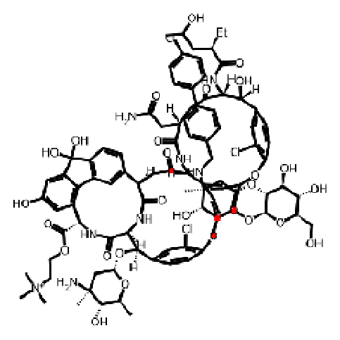 CC[C@H](CC(C)O)C(=O)N[C@H]1C(=O)C[C@@H](CC(N)=O)C(=O)N[C@H]2C(=O)C[C@H]3C(=O)N[C@H](C(=O)N[C@H](C(=O)OCC[N+](C)(C)C)c4cc(O)cc5c4-c4cc3ccc4C5(O)O)[C@H](O[C@H]3C[C@](C)(N)[C@@H](O)[C@H](C)O3)c3ccc(c(Cl)c3)Oc3cc2cc(c3O[C@@H]2O[C@H](CO)[C@@H](O)[C@H](O)[C@H]2O[C@H]2C[C@](C)(NCc3ccc(-c4ccc(Cl)cc4)cc3)[C@@H](O)[C@H](C)O2)Oc2ccc(cc2Cl)[C@H]1O